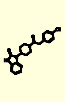 N#Cc1ccc(CC(=O)N2CCC(n3c(=O)[nH]c4ccccc43)CC2)cc1